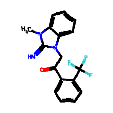 Cn1c(=N)n(CC(=O)c2ccccc2C(F)(F)F)c2ccccc21